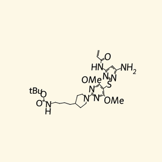 C=CC(=O)Nc1cc(N)nc(Sc2c(OC)nc(N3CCC(CCCCNC(=O)OC(C)(C)C)CC3)nc2OC)n1